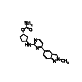 Cn1cc2cc(-c3ccnc(N[C@H]4CC[C@H](OC(N)=O)C4)n3)ccc2n1